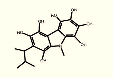 CC(C)C(C)c1c(O)c(O)c2c3c(O)c(O)c(O)c(O)c3n(C)c2c1O